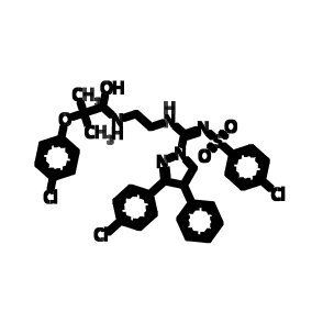 CC(C)(Oc1ccc(Cl)cc1)C(O)NCCN/C(=N/S(=O)(=O)c1ccc(Cl)cc1)N1CC(c2ccccc2)C(c2ccc(Cl)cc2)=N1